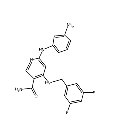 NC(=O)c1cnc(Nc2cccc(N)c2)cc1NCc1cc(F)cc(F)c1